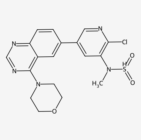 CN(c1cc(-c2ccc3ncnc(N4CCOCC4)c3c2)cnc1Cl)[SH](=O)=O